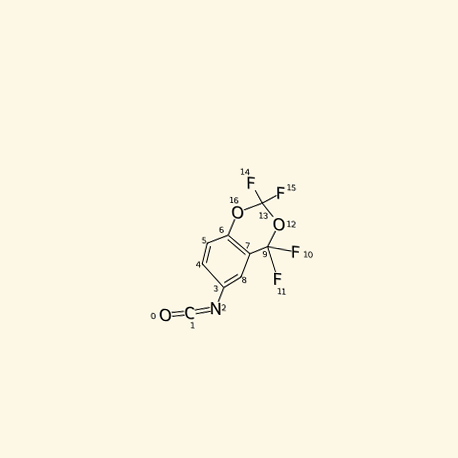 O=C=Nc1ccc2c(c1)C(F)(F)OC(F)(F)O2